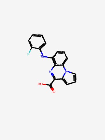 O=C(O)c1nc2c(Nc3ccccc3F)cccc2n2cccc12